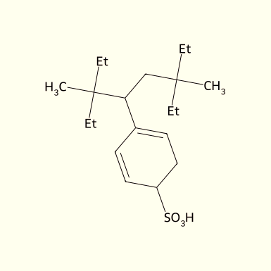 CCC(C)(CC)CC(C1=CCC(S(=O)(=O)O)C=C1)C(C)(CC)CC